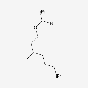 CCCC(Br)OCCC(C)CCCC(C)C